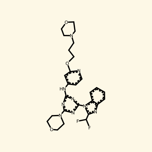 FC(F)c1nc2ccccc2n1-c1nc(Nc2ccnc(OCCCN3CCOCC3)c2)nc(N2CCOCC2)n1